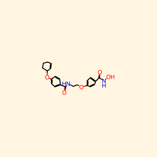 O=C(NO)c1ccc(OCCNC(=O)c2ccc(OC3C=CCCC3)cc2)cc1